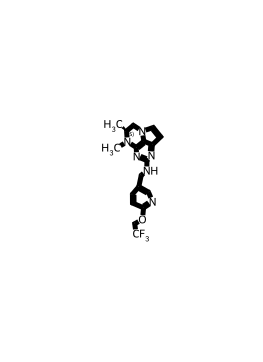 C[C@H]1Cn2ccc3nc(NCc4ccc(OCC(F)(F)F)nc4)nc(c32)N1C